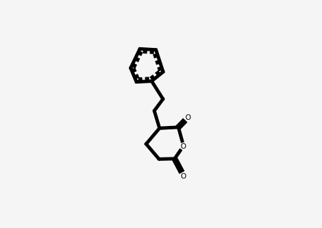 O=C1CCC(CCc2ccccc2)C(=O)O1